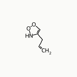 C=CCC1=COON1